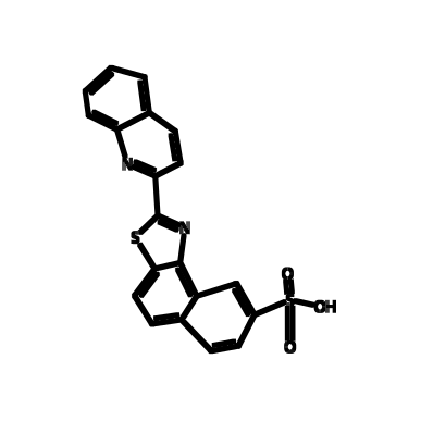 O=S(=O)(O)c1ccc2ccc3sc(-c4ccc5ccccc5n4)nc3c2c1